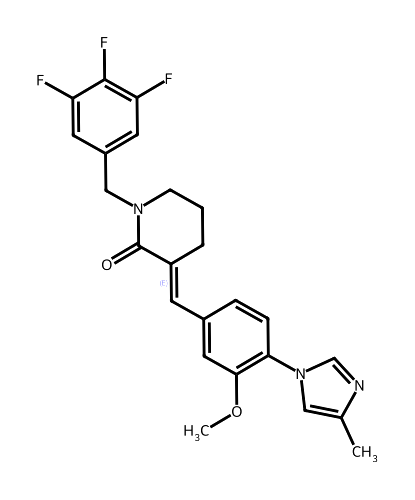 COc1cc(/C=C2\CCCN(Cc3cc(F)c(F)c(F)c3)C2=O)ccc1-n1cnc(C)c1